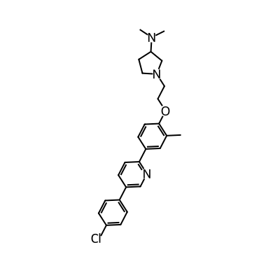 Cc1cc(-c2ccc(-c3ccc(Cl)cc3)cn2)ccc1OCCN1CCC(N(C)C)C1